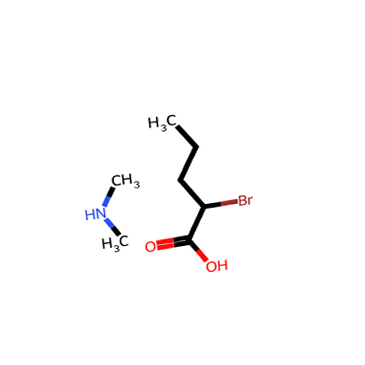 CCCC(Br)C(=O)O.CNC